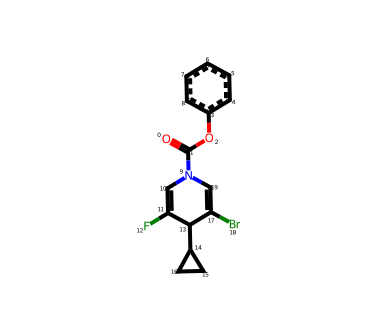 O=C(Oc1ccccc1)N1C=C(F)C(C2CC2)C(Br)=C1